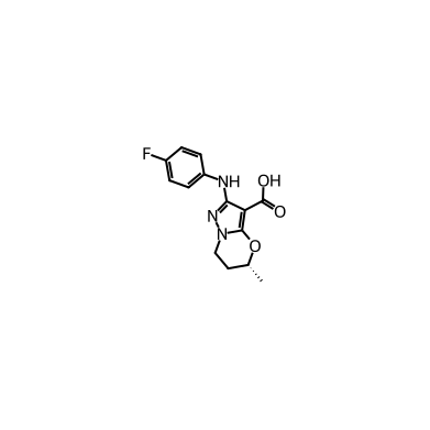 C[C@@H]1CCn2nc(Nc3ccc(F)cc3)c(C(=O)O)c2O1